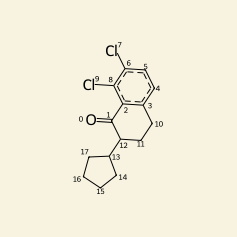 O=C1c2c(ccc(Cl)c2Cl)CCC1C1CCCC1